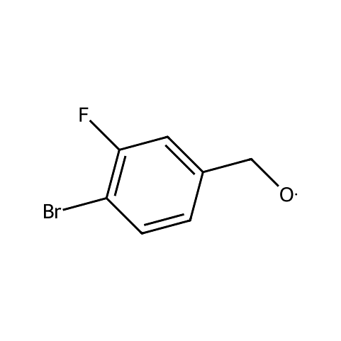 [O]Cc1ccc(Br)c(F)c1